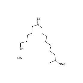 Br.CCN(CCCCCS)CCCCCCCC(C)NC